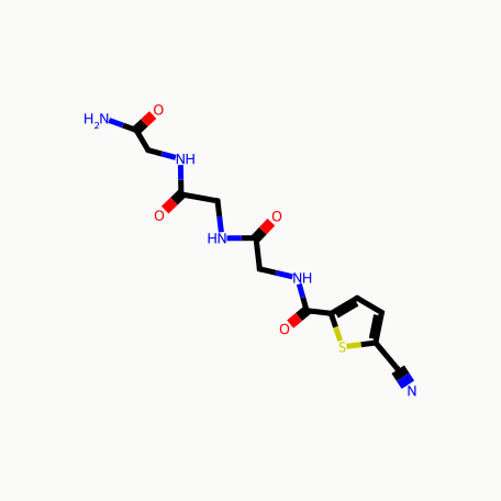 N#Cc1ccc(C(=O)NCC(=O)NCC(=O)NCC(N)=O)s1